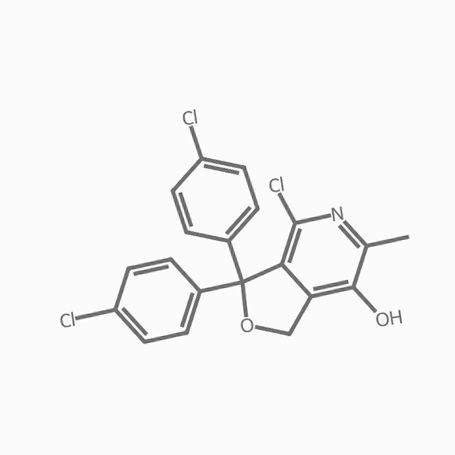 Cc1nc(Cl)c2c(c1O)COC2(c1ccc(Cl)cc1)c1ccc(Cl)cc1